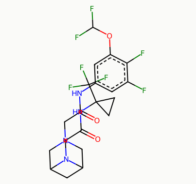 O=C(CN1CC2CC(C1)N2CC(=O)NC1(C(F)(F)F)CC1)Nc1cc(F)c(F)c(OC(F)F)c1